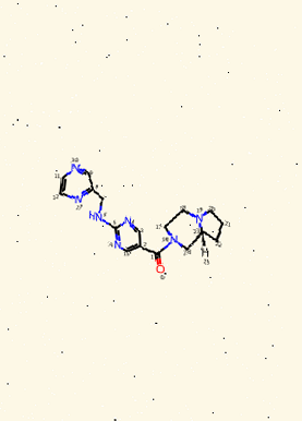 O=C(c1cnc(NCc2cnccn2)nc1)N1CCN2CCC[C@@H]2C1